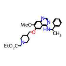 CCOC(=O)CN1CCC(COc2cc3c(NC(C)c4ccccc4)ncnc3cc2OC)CC1